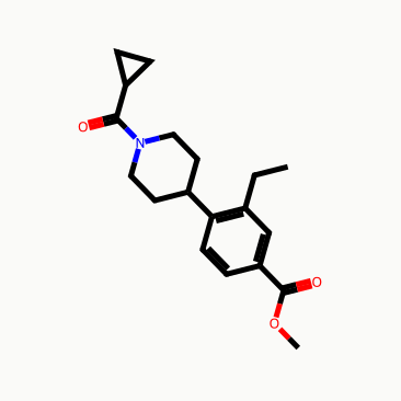 CCc1cc(C(=O)OC)ccc1C1CCN(C(=O)C2CC2)CC1